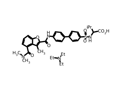 CCN(CC)CC.Cc1c(C(=O)Nc2ccc(-c3ccc(S(=O)(=O)NC(C(=O)O)C(C)C)cc3)cc2)oc2cccc(C(=O)N(C)C)c12